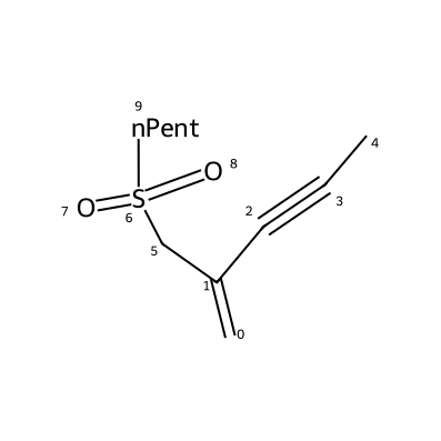 C=C(C#CC)CS(=O)(=O)CCCCC